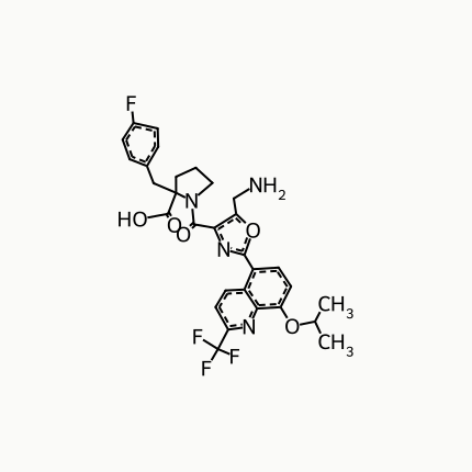 CC(C)Oc1ccc(-c2nc(C(=O)N3CCCC3(Cc3ccc(F)cc3)C(=O)O)c(CN)o2)c2ccc(C(F)(F)F)nc12